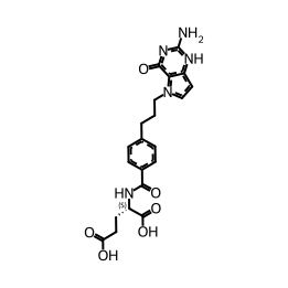 Nc1nc(=O)c2c(ccn2CCCc2ccc(C(=O)N[C@@H](CCC(=O)O)C(=O)O)cc2)[nH]1